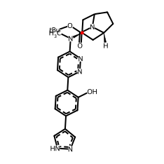 CN(c1ccc(-c2ccc(-c3cn[nH]c3)cc2O)nn1)[C@H]1CC2CC[C@H](C1)N2C(=O)OC(C)(C)C